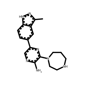 Cc1n[nH]c2ccc(-c3cnc(N)c(N4CCCNCC4)n3)cc12